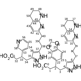 O=C(O)CC(Cc1cc(CCCc2ccc3c(n2)NCCC3)[nH]n1)c1ccc2c(c1)OCO2.O=C(O)CC(Cc1cc(CCCc2ccc3c(n2)NCCC3)[nH]n1)c1cccnc1